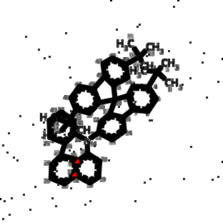 CC(C)(C)c1ccc2c(c1)C1(c3cc(N(c4ccccc4)c4ccccc4-c4ccccc4)ccc3-2)c2cc(C(C)(C)C)ccc2-c2ccc(C(C)(C)C)cc21